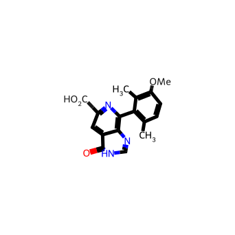 COc1ccc(C)c(-c2nc(C(=O)O)cc3c(=O)[nH]cnc23)c1C